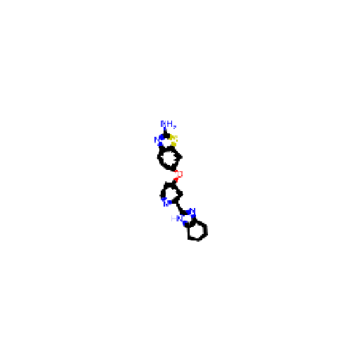 Nc1nc2ccc(Oc3ccnc(-c4nc5c([nH]4)CCCC5)c3)cc2s1